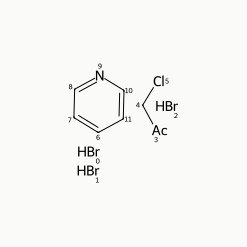 Br.Br.Br.CC(=O)CCl.c1ccncc1